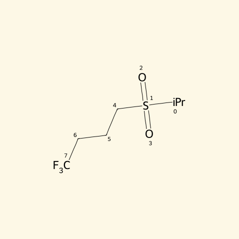 CC(C)S(=O)(=O)CCCC(F)(F)F